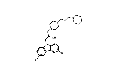 OC(CN1CCN(CCCN2CCCCC2)CC1)Cn1c2ccc(Br)cc2c2cc(Br)ccc21